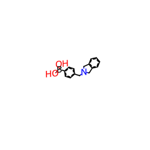 OB(O)c1ccc(CN2Cc3ccccc3C2)cc1